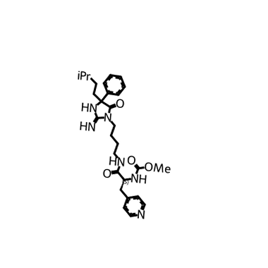 COC(=O)N[C@@H](Cc1ccncc1)C(=O)NCCCCN1C(=N)NC(CCC(C)C)(c2ccccc2)C1=O